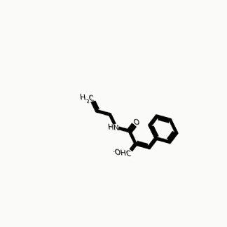 C=CCNC(=O)C([C]=O)=Cc1ccccc1